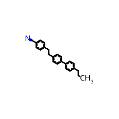 CCCc1ccc(-c2ccc(CCc3ccc(C#N)cc3)cc2)cc1